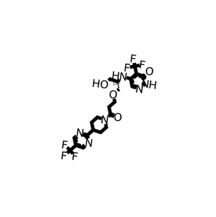 O=C(CCOC[C@H](CO)Nc1cn[nH]c(=O)c1C(F)(F)F)N1CCC(c2ncc(C(F)(F)F)cn2)CC1